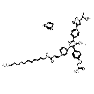 CCCCCCCCCCCCNC(=O)/C=C/c1ccc(-c2nc(-c3ccc(C4=NOC(C(=O)O)C4)cc3)n(C)c2-c2ccc(OCC(=O)O)cc2)cc1.c1c[nH]cn1